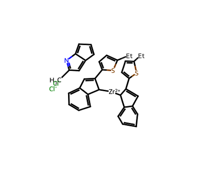 CC1=NC2=CC=CC2=C1.CCc1ccc(C2=Cc3ccccc3[CH]2[Zr+2][CH]2C(c3ccc(CC)s3)=Cc3ccccc32)s1.[Cl-].[Cl-]